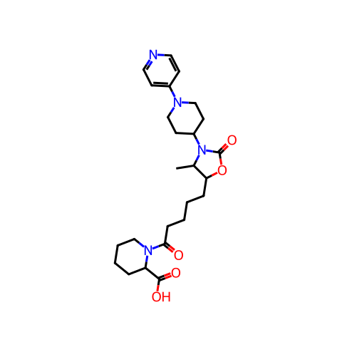 CC1C(CCCCC(=O)N2CCCCC2C(=O)O)OC(=O)N1C1CCN(c2ccncc2)CC1